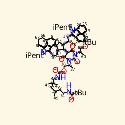 CCCC(C)n1c2c3c(cccc3\c1=C/C=C1\CCC(=C/C=c3\c4cccc5cccc(c54)n3C(C)CCC)\C1=C1\C(=O)N(C(C)COC(=O)NCC(C)(C)CC(C)CCNC(=O)C(C)(C)C)C(=O)N(C(C)COC(C)(C)C)C1=O)CCC=2